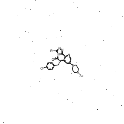 CC(=O)N1CCN(c2cnc3c(c2)n(Cc2ccc(Cl)cc2)c(=O)n2c(C(C)C)nnc32)CC1